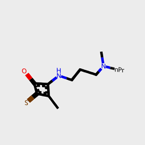 CCCN(C)CCCNc1c(C)c(=S)c1=O